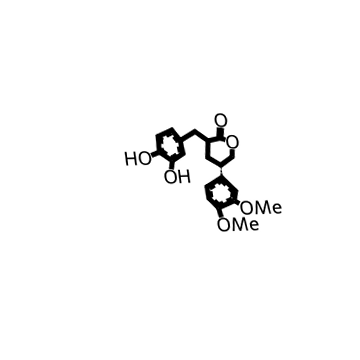 COc1ccc([C@H]2COC(=O)C(Cc3ccc(O)c(O)c3)C2)cc1OC